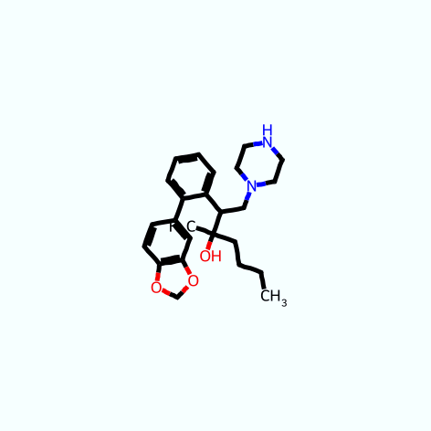 CCCCC(C)(O)C(CN1CCNCC1)c1ccccc1-c1ccc2c(c1)OCO2